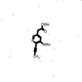 CC#Cc1ncc(CC(=O)OC)cc1NC